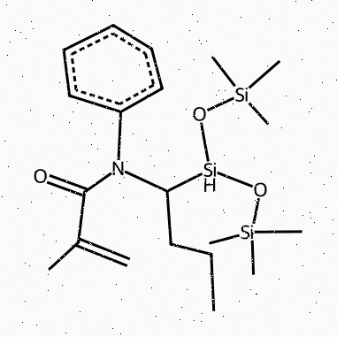 C=C(C)C(=O)N(c1ccccc1)C(CCC)[SiH](O[Si](C)(C)C)O[Si](C)(C)C